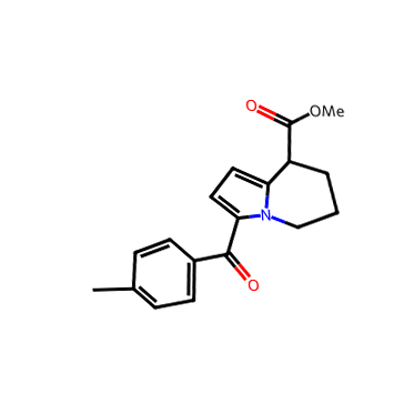 COC(=O)C1CCCn2c(C(=O)c3ccc(C)cc3)ccc21